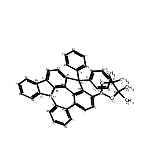 CC1(C)OB(c2ccc3c4c2C(c2ccccc2)(c2ccccc2)c2ccc5c6ccccc6n(c5c2-4)-c2ccccc2-3)OC1(C)C